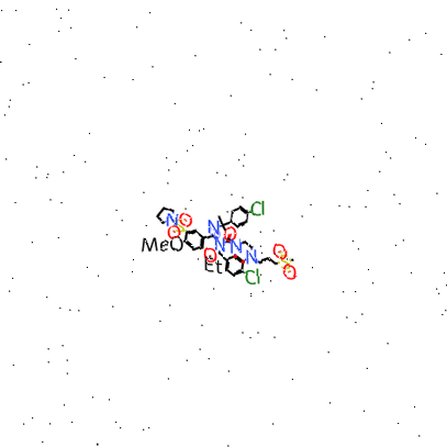 CCOc1cc(OC)c(S(=O)(=O)N2CCCC2)cc1/C(=N/C(C)(C)C1C=CC(Cl)=CC1)N(Cc1ccc(Cl)cc1)C(=O)N1CCN(CCCS(C)(=O)=O)CC1